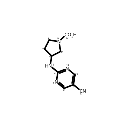 N#Cc1cnc(NC2CCN(C(=O)O)C2)nc1